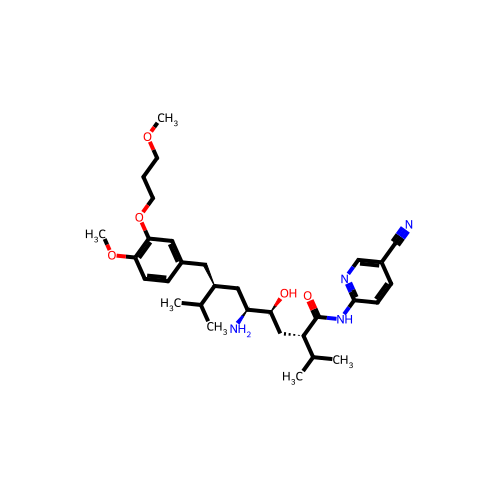 COCCCOc1cc(C[C@@H](C[C@H](N)[C@@H](O)C[C@H](C(=O)Nc2ccc(C#N)cn2)C(C)C)C(C)C)ccc1OC